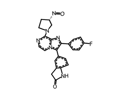 O=N[C@H]1CCN(c2nccn3c(-c4ccc5c(c4)CC(=O)N5)c(-c4ccc(F)cc4)nc23)C1